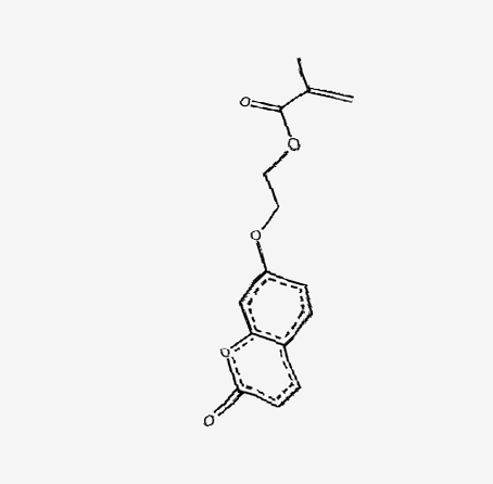 C=C(C)C(=O)OCCOc1ccc2ccc(=O)oc2c1